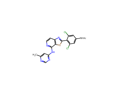 CC(=O)Nc1cc(Cl)c(-c2nc3ccnc(Nc4cc(C)ncn4)c3s2)c(Cl)c1